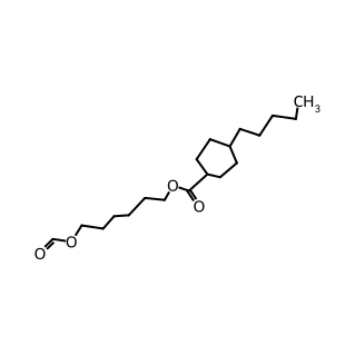 CCCCCC1CCC(C(=O)OCCCCCCOC=O)CC1